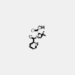 CC1(C)CN(C(=O)c2ccccn2)[C@@H]1C(=O)O